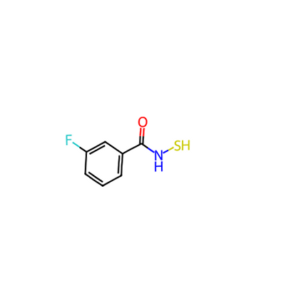 O=C(NS)c1cccc(F)c1